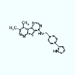 Cc1nnc2sc3c(NCc4ccc(-c5ccc[nH]5)cc4)ncnc3c2c1C